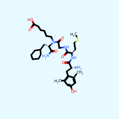 CSCC[C@@H](NC(=O)[C@H](N)Cc1c(C)cc(O)cc1C)C(=O)NCC(=O)N(CCCCCC(=O)O)[C@@H](CC1CCCCC1)C(N)=O